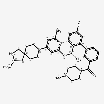 CN1CCN(C(=O)c2cccc(-c3cc(Cl)ccc3[C@@H](Oc3cc(N4CCC5(CC4)CN[C@H](C(=O)O)C5)nc(N)n3)C(F)(F)F)c2)CC1